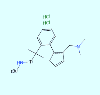 CN(C)CC1=C(c2ccccc2[C](C)(C)[Ti][NH]C(C)(C)C)CC=C1.Cl.Cl